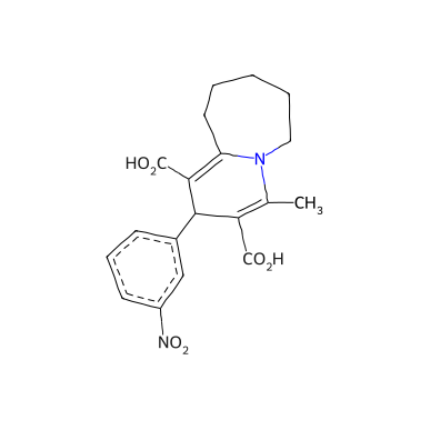 CC1=C(C(=O)O)C(c2cccc([N+](=O)[O-])c2)C(C(=O)O)=C2CCCCCN12